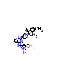 C=C(N1CCN(c2nc(Nc3cc(C)[nH]n3)c3cccn3n2)CC1)C1(c2ccc(C)cc2)CC1